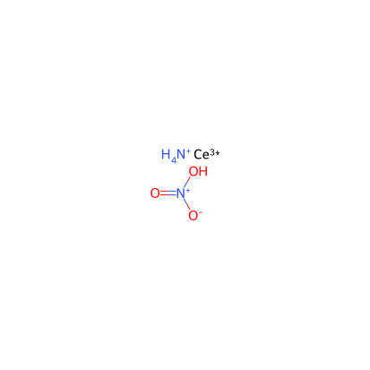 O=[N+]([O-])O.[Ce+3].[NH4+]